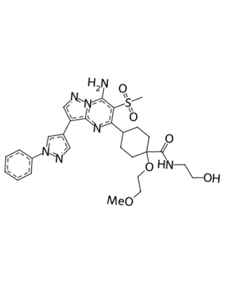 COCCOC1(C(=O)NCCO)CCC(c2nc3c(-c4cnn(-c5ccccc5)c4)cnn3c(N)c2S(C)(=O)=O)CC1